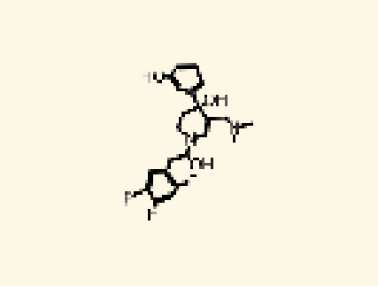 CN(C)C[C@H]1CN(C(O)Cc2cc(F)c(F)cc2F)CC[C@]1(O)c1cccc(O)c1